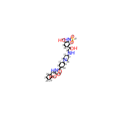 CS(=O)(=O)Nc1cc(C(O)CNC2CCN(c3ccc(C(=O)N[C@@H](Cc4ccccc4)C(=O)O)cc3)CC2)ccc1O